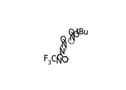 CC(C)(C)OC(=O)N1CCC[C@H](C(=O)N2CCN(c3cc(C(F)(F)F)nc4ccccc34)CC2)C1